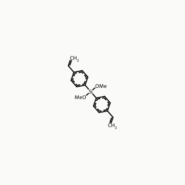 C=Cc1ccc([Si](OC)(OC)c2ccc(C=C)cc2)cc1